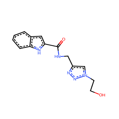 O=C(NCc1cn(CCO)nn1)c1cc2ccccc2[nH]1